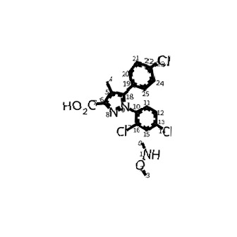 CNOC.Cc1c(C(=O)O)nn(-c2ccc(Cl)cc2Cl)c1-c1ccc(Cl)cc1